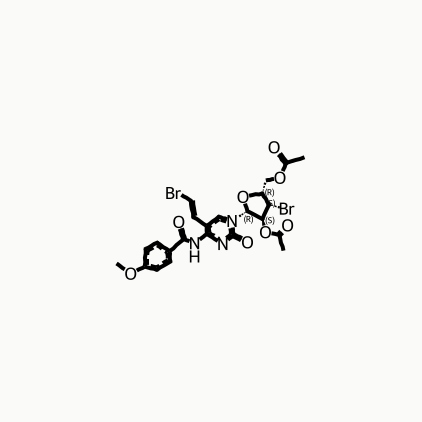 COc1ccc(C(=O)Nc2nc(=O)n([C@@H]3O[C@H](COC(C)=O)[C@H](Br)[C@H]3OC(C)=O)cc2C=CBr)cc1